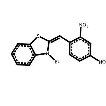 CCN1C(=Cc2ccc([N+](=O)[O-])cc2[N+](=O)[O-])Sc2ccccc21